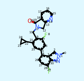 Cn1cc2c(-c3cc(F)c(CN4Cc5ncccc5C4=O)c(C4CC4)c3)ccc(F)c2n1